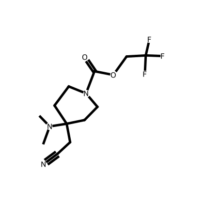 CN(C)C1(CC#N)CCN(C(=O)OCC(F)(F)F)CC1